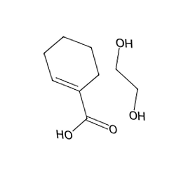 O=C(O)C1=CCCCC1.OCCO